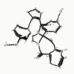 COc1ccc(C2=C(C(=O)N3CCN4C(=O)c5cccnc5CC34c3ccc(Cl)cc3)N=CC2)cc1